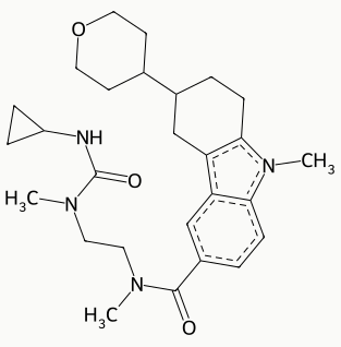 CN(CCN(C)C(=O)c1ccc2c(c1)c1c(n2C)CCC(C2CCOCC2)C1)C(=O)NC1CC1